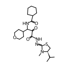 CC(C)[C@@H]1CS/C(=N\NC(=O)C(=O)C(NC(=O)C2CCCCC2)C2CCOCC2)N1C